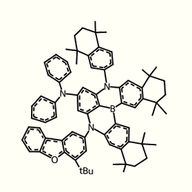 CC(C)(C)c1cc(N2c3cc4c(cc3B3c5cc6c(cc5N(c5ccc7c(c5)C(C)(C)CCC7(C)C)c5cc(N(c7ccccc7)c7ccccc7)cc2c53)C(C)(C)CCC6(C)C)C(C)(C)CCC4(C)C)cc2c1oc1ccccc12